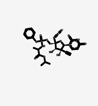 C#C[C@]1(O)[C@H](n2ccc(=O)[nH]c2=O)O[C@](COP(=O)(NC(C)C(=O)OC(C)C)Oc2ccccc2)(N=[N+]=[N-])[C@H]1O